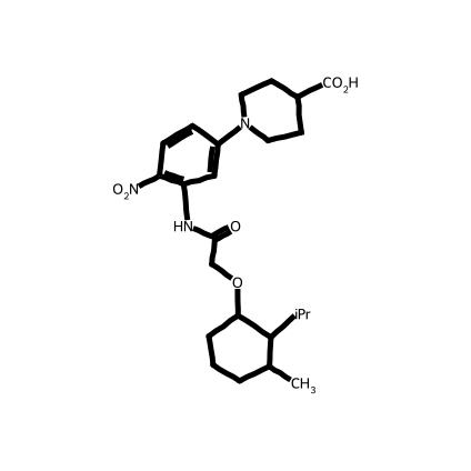 CC(C)C1C(C)CCCC1OCC(=O)Nc1cc(N2CCC(C(=O)O)CC2)ccc1[N+](=O)[O-]